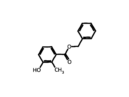 Cc1c(O)cccc1C(=O)OCc1ccccc1